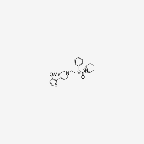 COc1ccsc1C1=CCN(CC[C@@H](C(=O)N2C3CCCC2CC3)c2ccccc2)CC1